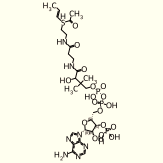 CC=C[SH](CCNC(=O)CCNC(=O)C(O)C(C)(C)COP(=O)(O)OP(=O)(O)OC[C@H]1O[C@@H](n2cnc3c(N)ncnc32)[C@H](O)[C@@H]1OP(=O)(O)O)C(C)=O